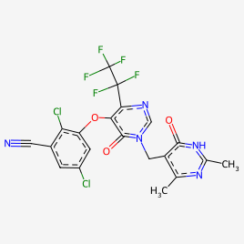 Cc1nc(C)c(Cn2cnc(C(F)(F)C(F)(F)F)c(Oc3cc(Cl)cc(C#N)c3Cl)c2=O)c(=O)[nH]1